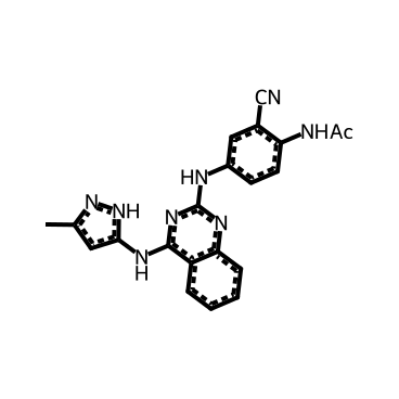 CC(=O)Nc1ccc(Nc2nc(Nc3cc(C)n[nH]3)c3ccccc3n2)cc1C#N